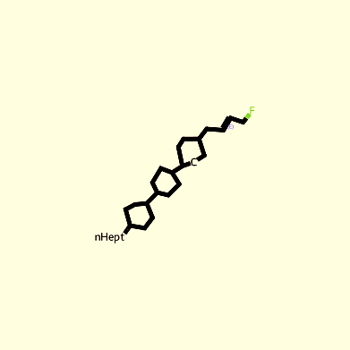 CCCCCCCC1CCC(C2CCC(C3CCC(C/C=C/CF)CC3)CC2)CC1